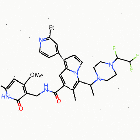 CCc1cc(-c2ccn3c(C(C)N4CCN(C(F)C(F)F)CC4)c(C)c(C(=O)NCc4c(OC)cc(C)[nH]c4=O)cc23)ccn1